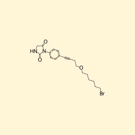 O=C1CNC(=O)N1c1ccc(C#CCCOCCCCCCBr)cc1